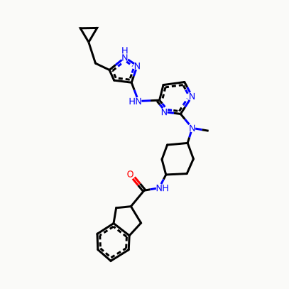 CN(c1nccc(Nc2cc(CC3CC3)[nH]n2)n1)C1CCC(NC(=O)C2Cc3ccccc3C2)CC1